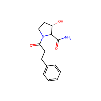 NC(=O)C1[C@@H](O)CCN1C(=O)[CH]Cc1ccccc1